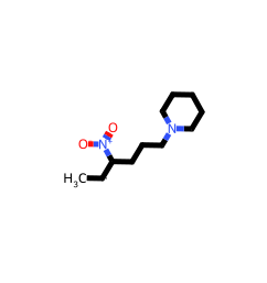 C[CH]C(CCCN1CCCCC1)[N+](=O)[O-]